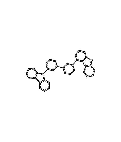 c1cc(-c2cccc(-n3c4ccccc4c4ccccc43)c2)cc(-c2cccc3oc4ccccc4c23)c1